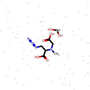 CN(CC(=O)O)C(CN=[N+]=[N-])C(=O)O.OBO